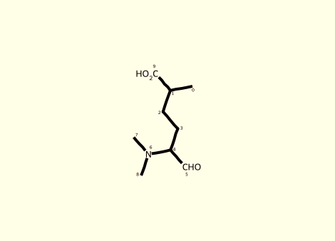 CC(CCC(C=O)N(C)C)C(=O)O